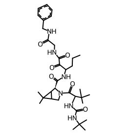 CCCC(NC(=O)[C@@H]1C2C(CN1C(=O)C(NC(=O)NC(C)(C)C)C(C)(C)C)C2(C)C)C(=O)C(=O)NCC(=O)NCc1ccccc1